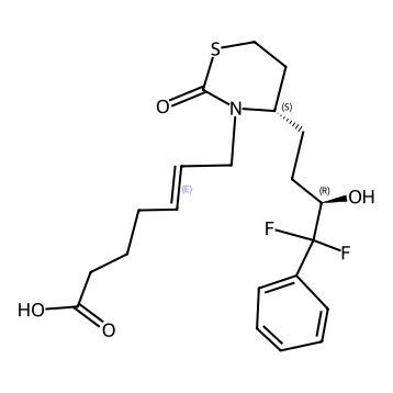 O=C(O)CCC/C=C/CN1C(=O)SCC[C@@H]1CC[C@@H](O)C(F)(F)c1ccccc1